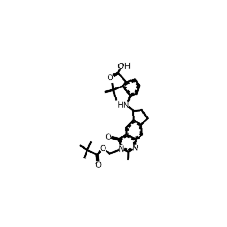 Cc1nc2cc3c(cc2c(=O)n1COC(=O)C(C)(C)C)C(Nc1cccc(C(=O)O)c1C(C)(C)C)CC3